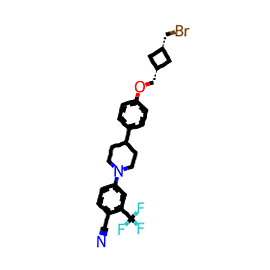 N#Cc1ccc(N2CCC(c3ccc(OC[C@H]4C[C@@H](CBr)C4)cc3)CC2)cc1C(F)(F)F